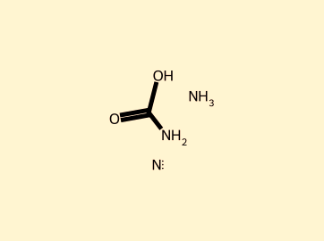 N.NC(=O)O.[N]